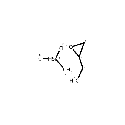 CCC1CO1.C[SiH](Cl)Cl